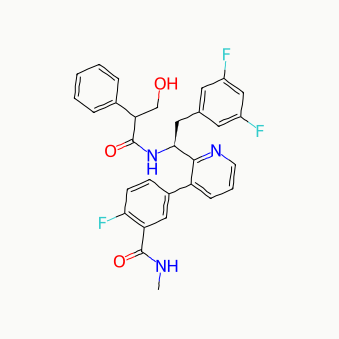 CNC(=O)c1cc(-c2cccnc2[C@H](Cc2cc(F)cc(F)c2)NC(=O)C(CO)c2ccccc2)ccc1F